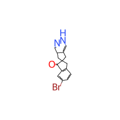 O=C1c2cc(Br)ccc2CC12CC1=CNN=CC1C2